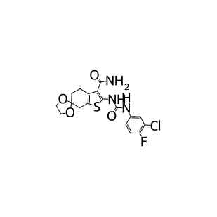 NC(=O)c1c(NC(=O)Nc2ccc(F)c(Cl)c2)sc2c1CCC1(C2)OCCO1